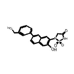 O=C1CN(c2cc3cc(-c4cccc(CO)c4)ccc3cc2O)S(=O)(=O)N1